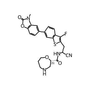 Cn1c(=O)oc2ccc(-c3ccc4c(F)c(CC(C#N)NC(=O)[C@@H]5CNCCCO5)sc4c3)cc21